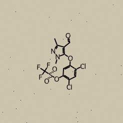 Cc1nn(C)c(Oc2cc(OS(=O)(=O)C(F)(F)F)c(Cl)cc2Cl)c1C=O